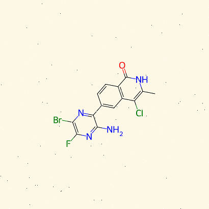 Cc1[nH]c(=O)c2ccc(-c3nc(Br)c(F)nc3N)cc2c1Cl